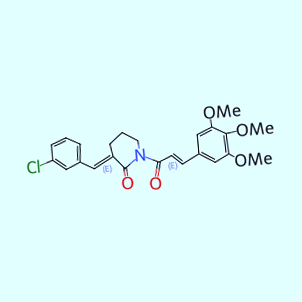 COc1cc(/C=C/C(=O)N2CCC/C(=C\c3cccc(Cl)c3)C2=O)cc(OC)c1OC